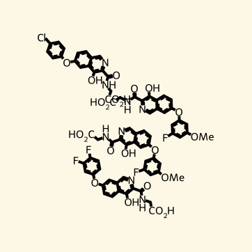 COc1cc(F)cc(Oc2ccc3c(O)c(C(=O)NCC(=O)O)ncc3c2)c1.COc1cc(F)cc(Oc2ccc3cnc(C(=O)NCC(=O)O)c(O)c3c2)c1.O=C(O)CNC(=O)c1ncc2cc(Oc3ccc(F)c(F)c3)ccc2c1O.O=C(O)CNC(=O)c1ncc2ccc(Oc3ccc(Cl)cc3)cc2c1O